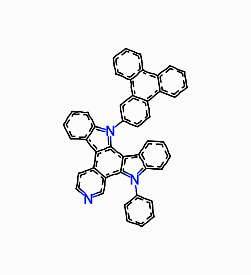 c1ccc(-n2c3ccccc3c3c2c2cnccc2c2c4ccccc4n(-c4ccc5c6ccccc6c6ccccc6c5c4)c23)cc1